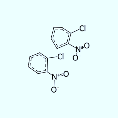 O=[N+]([O-])c1ccccc1Cl.O=[N+]([O-])c1ccccc1Cl